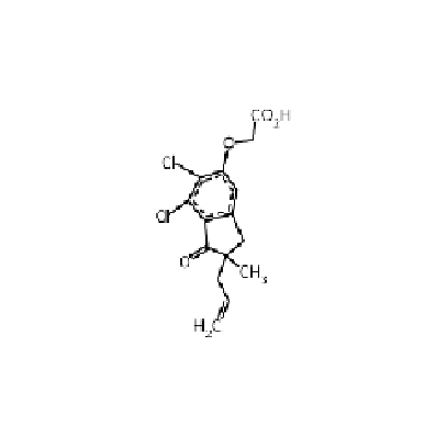 C=CCC1(C)Cc2cc(OCC(=O)O)c(Cl)c(Cl)c2C1=O